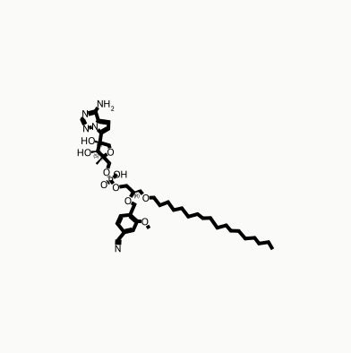 CCCCCCCCCCCCCCCCCCOC[C@H](COP(=O)(O)OC[C@@]1(C)OC[C@@](O)(c2ccc3c(N)ncnn23)[C@@H]1O)OCc1ccc(C#N)cc1OC